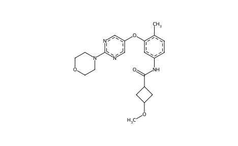 COC1CC(C(=O)Nc2ccc(C)c(Oc3cnc(N4CCOCC4)nc3)c2)C1